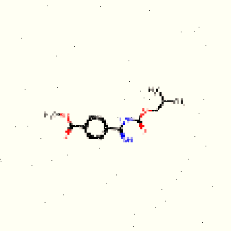 COC(=O)c1ccc(C(=N)NC(=O)OCC(C)C)cc1